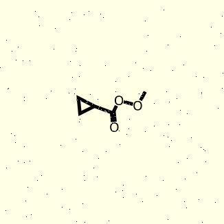 COOC(=O)C1CC1